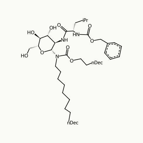 CCCCCCCCCCCCCCCCCCN(C(=O)OCCCCCCCCCCCC)[C@@H]1O[C@H](CO)[C@@H](O)[C@H](O)[C@H]1NC(=O)[C@H](CC(C)C)NC(=O)OCc1ccccc1